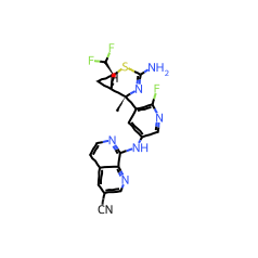 C[C@]1(c2cc(Nc3nccc4cc(C#N)cnc34)cnc2F)N=C(N)S[C@@]2(C(F)F)C[C@@H]12